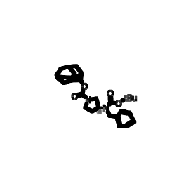 CC(C)(C)OC(=O)N(Cc1ccccc1)[C@@H]1CCN(C(=O)OC2C3CC4CC(C3)CC2C4)C1